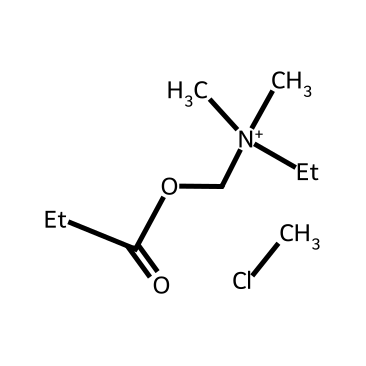 CCC(=O)OC[N+](C)(C)CC.CCl